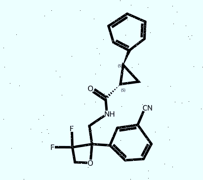 N#Cc1cccc(C2(CNC(=O)[C@H]3C[C@@H]3c3ccccc3)OCC2(F)F)c1